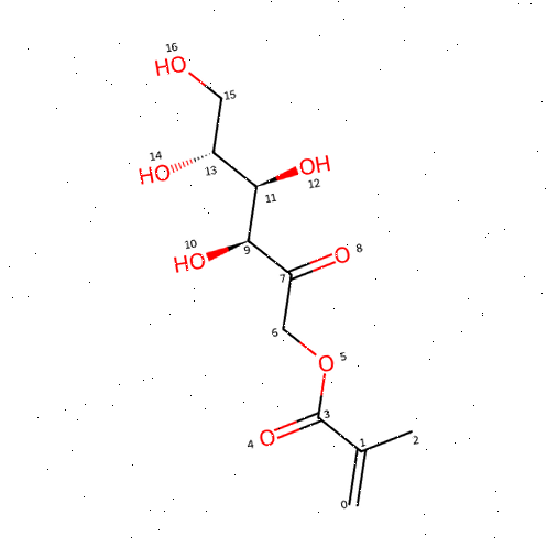 C=C(C)C(=O)OCC(=O)[C@@H](O)[C@H](O)[C@H](O)CO